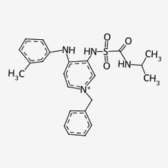 Cc1cccc(Nc2cc[n+](Cc3ccccc3)cc2NS(=O)(=O)C(=O)NC(C)C)c1